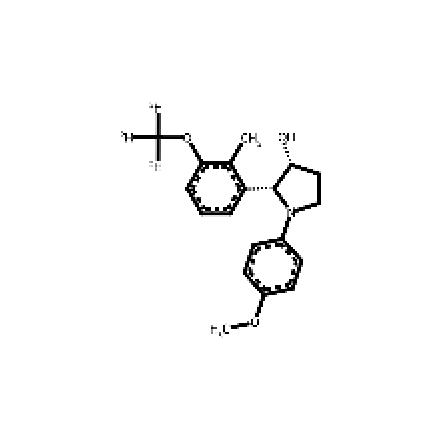 [2H]C([2H])([2H])Oc1cccc([C@@H]2[C@H](O)CCN2c2ccc(OC)cc2)c1C